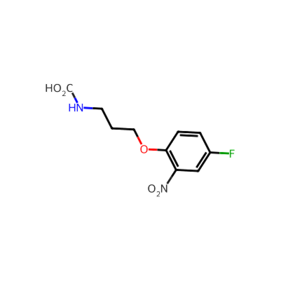 O=C(O)NCCCOc1ccc(F)cc1[N+](=O)[O-]